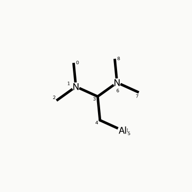 CN(C)C([CH2][Al])N(C)C